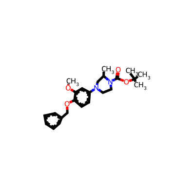 COc1cc(N2CCN(C(=O)OC(C)(C)C)C(C)C2)ccc1OCc1ccccc1